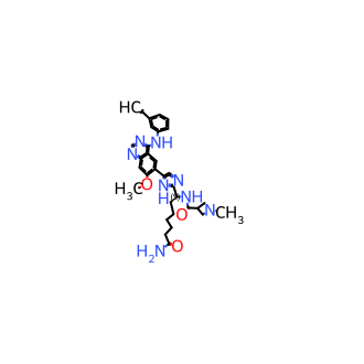 C#Cc1cccc(Nc2ncnc3cc(OC)c(-c4cnc([C@H](CCCCCC(N)=O)NC(=O)C5CN(C)C5)[nH]4)cc23)c1